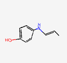 CC=CNc1ccc(O)cc1